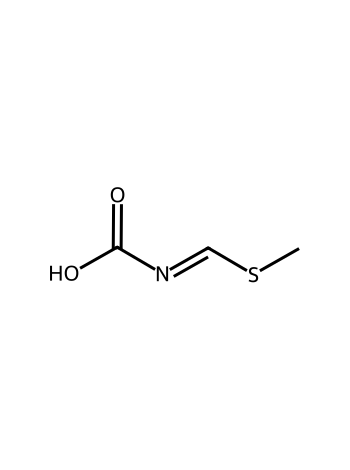 CSC=NC(=O)O